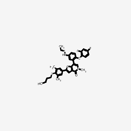 CCSNc1ccc(Oc2ccc(F)cc2F)c(-c2cn(C)c(=O)c3cc(-c4cc(C)c(OCCCO)c(C)c4)oc23)c1